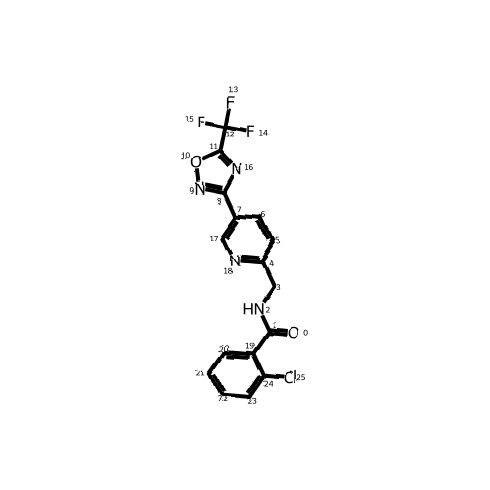 O=C(NCc1ccc(-c2noc(C(F)(F)F)n2)cn1)c1ccccc1Cl